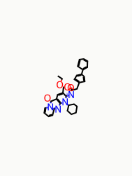 CCOC(=O)c1cc2c(=O)n3ccccc3nc2n(C2CCCCC2)/c1=N/C(=O)Cc1ccc(-c2ccccc2)cc1